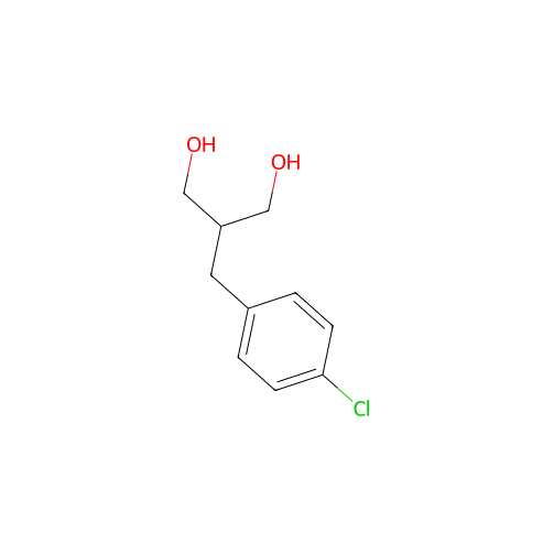 OCC(CO)Cc1ccc(Cl)cc1